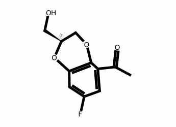 CC(=O)c1cc(F)cc2c1OC[C@H](CO)O2